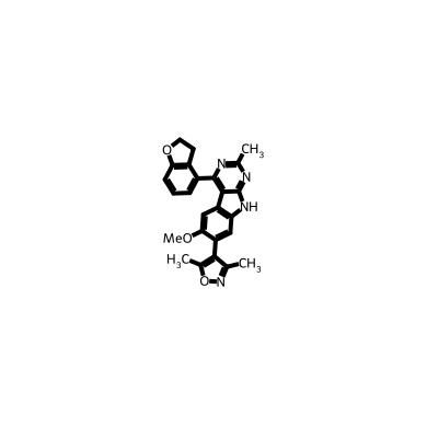 COc1cc2c(cc1-c1c(C)noc1C)[nH]c1nc(C)nc(-c3cccc4c3CCO4)c12